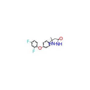 CC1(c2ccc(Oc3ccc(F)cc3F)cc2)CC(=O)NN1